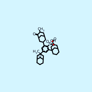 CC1CC2CC(CC(c3cc(C4(C)CC5CCCC(C4)C5=O)cc(C45CCCC(CC(C=O)C4)C5)c3S(=O)(=O)O)C2)C1=O